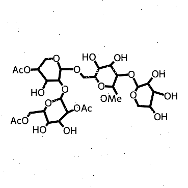 COC1OC(COC2OCC(OC(C)=O)C(O)C2OC2OC(COC(C)=O)C(O)C(O)C2OC(C)=O)C(O)C(O)C1OC1OCC(O)C(O)C1O